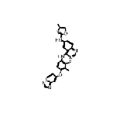 Cc1c(Oc2ccn3ncnc3c2)ccc(Nc2ncnc3ccc(NC4=NC(C)CO4)cc23)c1F